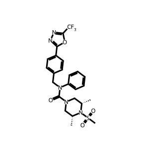 C[C@@H]1CN(C(=O)N(Cc2ccc(-c3nnc(C(F)(F)F)o3)cc2)c2ccccc2)C[C@H](C)N1S(C)(=O)=O